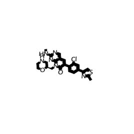 CNc1ncc2cc(-c3ccc(-c4csc(C)n4)cc3Cl)c(=O)n(C[C@@H]3CNCCO3)c2n1